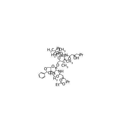 CCC(=O)O[C@@H](CC(=O)NC1[C@H](OCC2O[C@@H](O[Si](C)(C)C(C)(C)C(C)C)C(NC(=O)C[C@H](O)CC(C)C)[C@@H](C)[C@@H]2C)OC2COC(c3ccccc3)O[C@H]2[C@@H]1C)CC(C)C